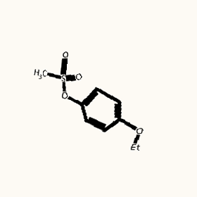 [CH2]COc1ccc(OS(C)(=O)=O)cc1